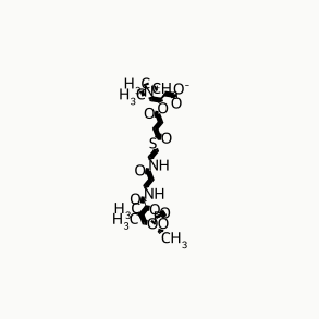 CCOP1(=O)OCC(C)(C)[C@H](C(=O)NCCC(=O)NCCSC(=O)CCC(=O)O[C@H](CC(=O)[O-])C[N+](C)(C)C)O1